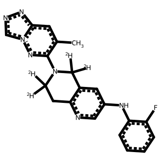 [2H]C1([2H])Cc2ncc(Nc3ccccc3F)cc2C([2H])([2H])N1c1nn2cnnc2cc1C